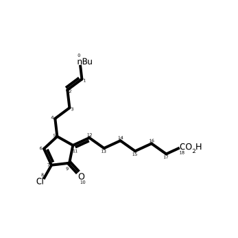 CCCCC=CCCC1C=C(Cl)C(=O)C1=CCCCCCC(=O)O